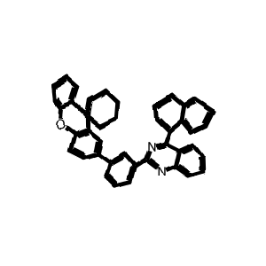 c1cc(-c2ccc3c(c2)C2(CCCCC2)c2ccccc2O3)cc(-c2nc(-c3cccc4ccccc34)c3ccccc3n2)c1